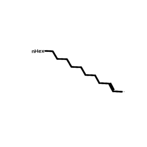 [CH2]C=CCCCCCCCCCCCCC[CH2]